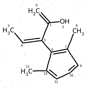 C=C(O)/C(=C\C)c1c(C)cccc1C